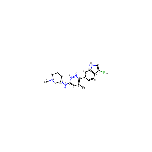 CCc1cc(N[C@@H]2CCCN(CC)C2)nnc1-c1ccc2c(F)c[nH]c2c1